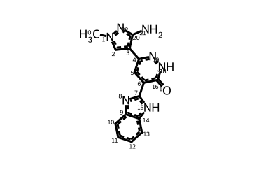 Cn1cc(-c2cc(-c3nc4ccccc4[nH]3)c(=O)[nH]n2)c(N)n1